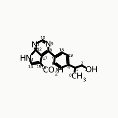 CC(CO)c1ccc(-c2ncnc3[nH]cc(C(=O)O)c23)cc1